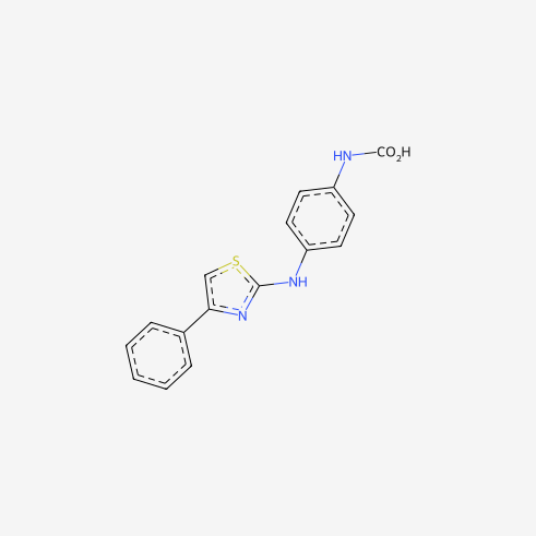 O=C(O)Nc1ccc(Nc2nc(-c3ccccc3)cs2)cc1